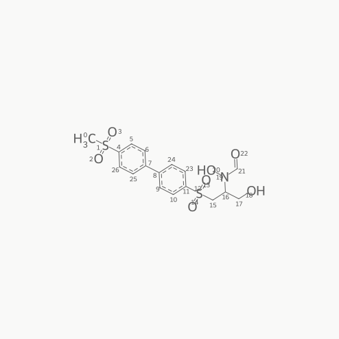 CS(=O)(=O)c1ccc(-c2ccc(S(=O)(=O)CC(CO)N(O)C=O)cc2)cc1